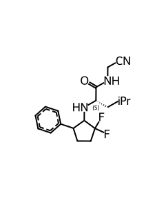 CC(C)C[C@H](NC1C(c2ccccc2)CCC1(F)F)C(=O)NCC#N